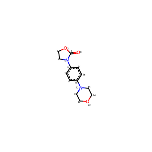 O=C1OCCN1c1ccc(N2CCOCC2)cc1